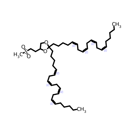 CCCCC/C=C\C/C=C\C/C=C\C/C=C\CCCCC1(CCCC/C=C\C/C=C\C/C=C\C/C=C\CCCCC)OCC(CCS(C)(=O)=O)O1